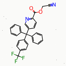 N#CCOC(=O)c1ccc(C(c2ccccc2)(c2ccccc2)c2ccc(C(F)(F)F)cc2)cn1